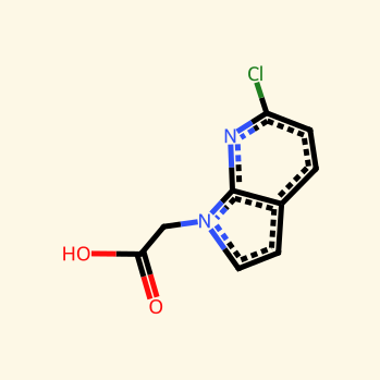 O=C(O)Cn1ccc2ccc(Cl)nc21